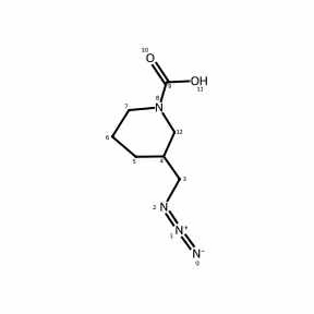 [N-]=[N+]=NCC1CCCN(C(=O)O)C1